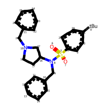 CC(C)(C)c1ccc(S(=O)(=O)N(Cc2ccccc2)C2CCN(Cc3ccccc3)C2)cc1